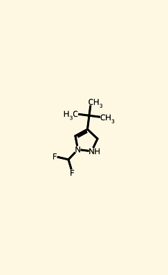 CC(C)(C)C1=CN(C(F)F)NC1